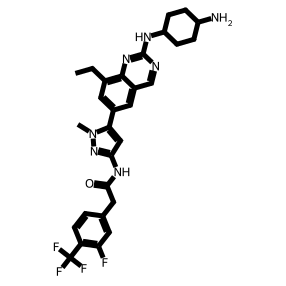 CCc1cc(-c2cc(NC(=O)Cc3ccc(C(F)(F)F)c(F)c3)nn2C)cc2cnc(NC3CCC(N)CC3)nc12